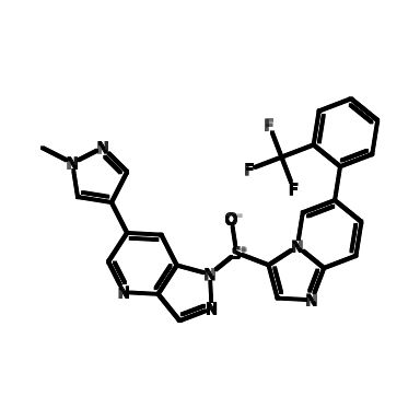 Cn1cc(-c2cnc3cnn([S+]([O-])c4cnc5ccc(-c6ccccc6C(F)(F)F)cn45)c3c2)cn1